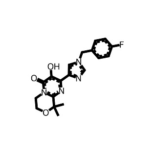 CC1(C)OCCn2c1nc(-c1cn(Cc3ccc(F)cc3)cn1)c(O)c2=O